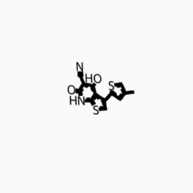 Cc1csc(-c2csc3[nH]c(=O)c(C#N)c(O)c23)c1